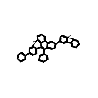 c1ccc(-c2ccc3c(c2)Sc2cccc4c2c-3c(-c2ccccc2)c2ccc(-c3ccc5sc6ccccc6c5c3)cc24)cc1